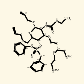 C=CCOC[C@H]1O[C@H](OCC=C)[C@@H](NC(=O)OCC(Cl)(Cl)Cl)[C@@H](OCC[C@H](CCCCCCCCCCC)OCCCCCCCCCCCC)[C@@H]1OP(=O)(Oc1ccccc1)Oc1ccccc1